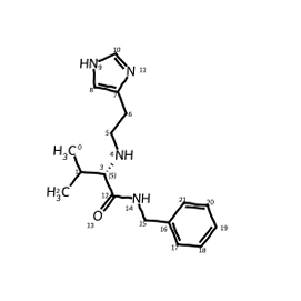 CC(C)[C@H](NCCc1c[nH]cn1)C(=O)NCc1ccccc1